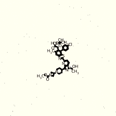 COC(=O)N1CC(N2CCC(c3nn(C(C)O)c4ccc(-c5nc6cc(C)c([C@H](OC(C)(C)C)C(=O)O)c(-c7ccc(Cl)cc7)c6s5)nc34)CC2)C1